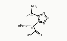 CCCCC[C@@H](C(=O)C(C)C)n1nnnc1[C@H](C)N